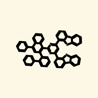 c1ccc(-c2ccccc2-c2cc(-c3ccccc3)c3ccccc3c2-c2nc(-c3cccc4c3sc3ccccc34)cc(-c3cccc4c3sc3ccccc34)n2)cc1